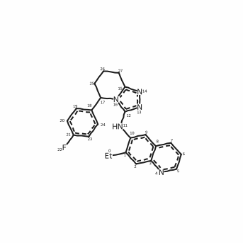 CCc1cc2ncccc2cc1Nc1nnc2n1C(c1ccc(F)cc1)CCC2